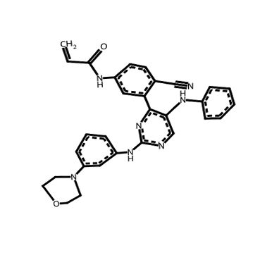 C=CC(=O)Nc1ccc(C#N)c(-c2nc(Nc3cccc(N4CCOCC4)c3)ncc2Nc2ccccc2)c1